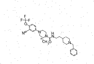 C[C@@H]1CN(c2ccc(OC(F)(F)F)c(C#N)c2)CCN1C(=O)NCCC1CCN(Cc2ccccc2)CC1